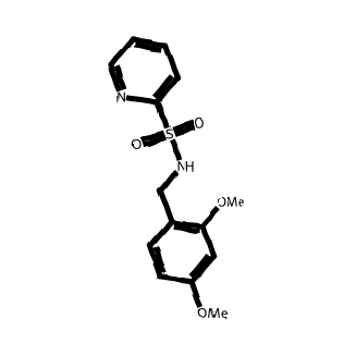 COc1ccc(CNS(=O)(=O)c2ccccn2)c(OC)c1